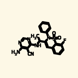 CC(Nc1ncnc(N)c1C#N)C1=Cc2cccc(F)c2S(=O)(=O)N1c1ccccc1